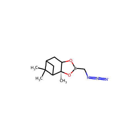 CC1(C)C2CC3OB(CN=[N+]=[N-])O[C@@]3(C)C1C2